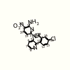 Nc1nc(Nc2cc[c]nc2-c2ccc(Cl)cc2Cl)ccc1[N+](=O)[O-]